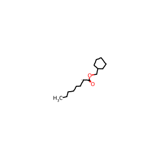 CCCCCC[CH]C(=O)OCC1CCCCC1